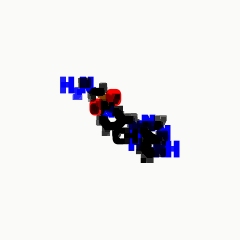 CC1CCN(S(=O)(=O)CCN)CC1CNc1ncnc2[nH]ccc12